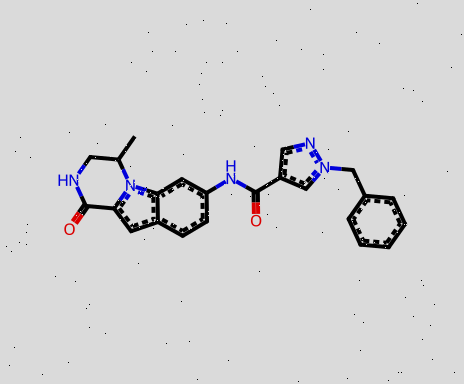 CC1CNC(=O)c2cc3ccc(NC(=O)c4cnn(Cc5ccccc5)c4)cc3n21